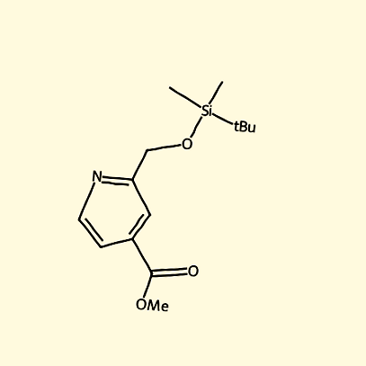 COC(=O)c1ccnc(CO[Si](C)(C)C(C)(C)C)c1